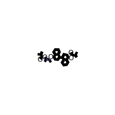 C=C(C)C(=O)O/C(C)=C(/C)Oc1ccc(-c2ccc(OC(=O)C(=C)C)c3ccccc23)c2ccccc12